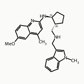 COc1ccc2nc(N[C@H]3CCC[C@@H]3CNCc3cn(C)c4ccccc34)cc(C)c2c1